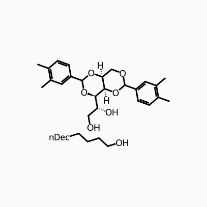 CCCCCCCCCCCCCCO.Cc1ccc(C2OC[C@@H]3OC(c4ccc(C)c(C)c4)O[C@H]([C@H](O)CO)[C@@H]3O2)cc1C